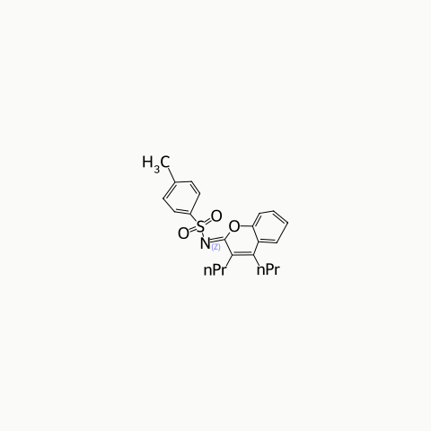 CCCc1c(CCC)c2ccccc2o/c1=N\S(=O)(=O)c1ccc(C)cc1